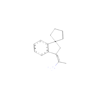 C/C(N)=C1\CC2(CCCC2)c2ccccc21